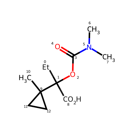 CCC(OC(=O)N(C)C)(C(=O)O)C1(C)CC1